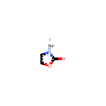 O=c1[nH]cco1.[I-].[Na+]